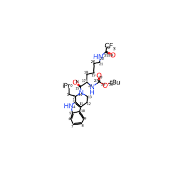 CC(C)CC1c2[nH]c3ccccc3c2CCN1C(=O)[C@@H](CCCCNC(=O)C(F)(F)F)NC(=O)OC(C)(C)C